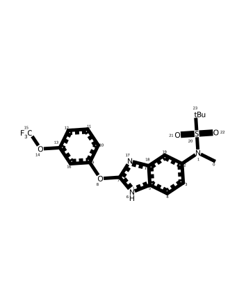 CN(c1ccc2[nH]c(Oc3cccc(OC(F)(F)F)c3)nc2c1)S(=O)(=O)C(C)(C)C